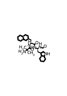 CC(C)(N)C(=O)N[C@H](Cc1ccc2ccccc2c1)C(=O)N[C@H](Cc1c[nH]c2ccccc12)NC=O